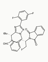 CC(C)(C)[C@H](c1nc(-c2cc(F)ccc2F)nn1Cc1ccccc1)N(C=O)CC[C@@H](CF)N1C(=O)c2ccccc2C1=O